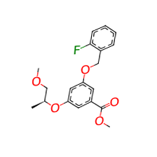 COC[C@H](C)Oc1cc(OCc2ccccc2F)cc(C(=O)OC)c1